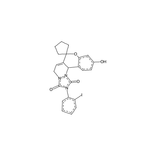 O=c1n(-c2ccccc2I)c(=O)n2n1CC=C1C2c2ccc(O)cc2OC12CCCC2